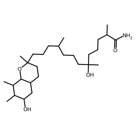 CC(CCCC(C)(O)CCCC(C)C(N)=O)CCCC1(C)CCC2CC(O)C(C)C(C)C2O1